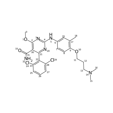 COc1nc(Nc2ccc(OCCCN(C)C)c(C)c2)nc(-c2c(Cl)cccc2Cl)c1C(N)=O